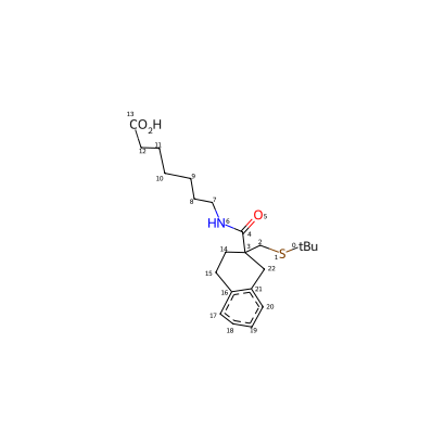 CC(C)(C)SCC1(C(=O)NCCCCCCC(=O)O)CCc2ccccc2C1